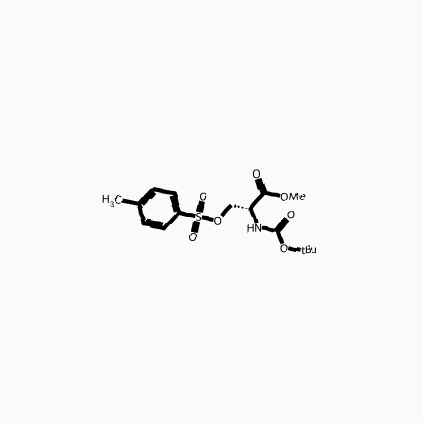 COC(=O)[C@@H](COS(=O)(=O)c1ccc(C)cc1)NC(=O)OC(C)(C)C